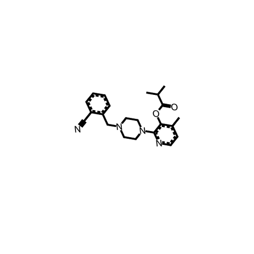 Cc1ccnc(N2CCN(Cc3ccccc3C#N)CC2)c1OC(=O)C(C)C